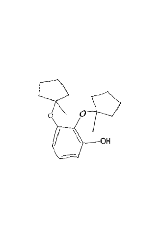 CC1(Oc2cccc(O)c2OC2(C)CCCC2)CCCC1